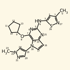 Cc1cc(Nc2nc(OC3CCCC3)c3c(ccn3-c3cnn(C)c3)n2)sn1